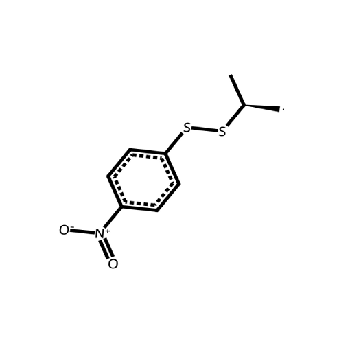 [CH2][C@H](C)SSc1ccc([N+](=O)[O-])cc1